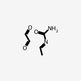 CC=NC(N)=O.O=CC=O